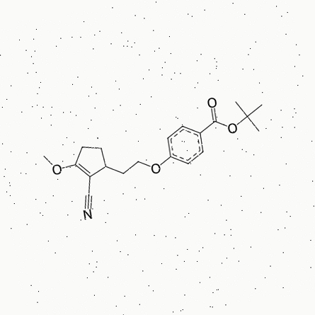 COC1=C(C#N)C(CCOc2ccc(C(=O)OC(C)(C)C)cc2)CC1